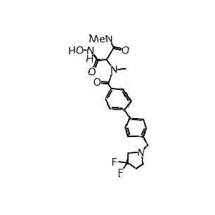 CNC(=O)C(C(=O)NO)N(C)C(=O)c1ccc(-c2ccc(CN3CCC(F)(F)C3)cc2)cc1